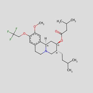 COc1cc2c(cc1OCC(F)(F)F)CCN1C[C@@H](CCC(C)C)[C@H](OC(=O)CC(C)C)C[C@H]21